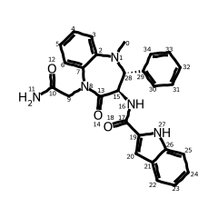 CN1c2ccccc2N(CC(N)=O)C(=O)[C@H](NC(=O)c2cc3ccccc3[nH]2)[C@H]1c1ccccc1